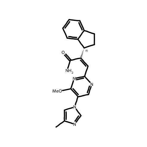 COc1nc(C=C(C(N)=O)[C@H]2CCc3ccccc32)ncc1-n1cnc(C)c1